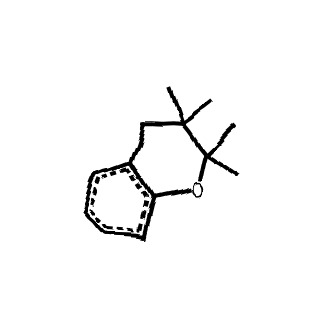 CC1(C)Cc2ccccc2OC1(C)C